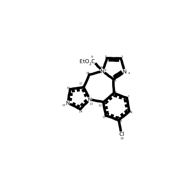 CCOC(=O)[N+]12C=CN=C1c1ccc(Cl)cc1-n1cncc1C2